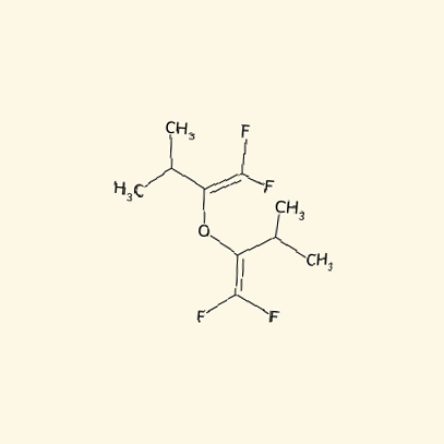 CC(C)C(OC(=C(F)F)C(C)C)=C(F)F